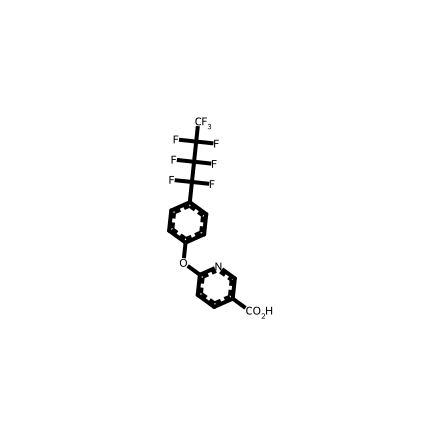 O=C(O)c1ccc(Oc2ccc(C(F)(F)C(F)(F)C(F)(F)C(F)(F)F)cc2)nc1